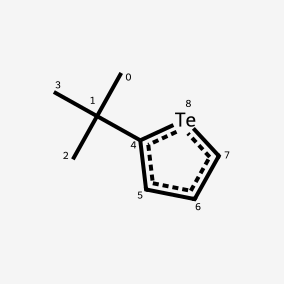 CC(C)(C)c1ccc[te]1